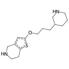 c1c(OCCCC2CCCNC2)sc2c1CNCC2